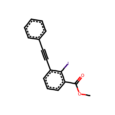 COC(=O)c1cccc(C#Cc2ccccc2)c1I